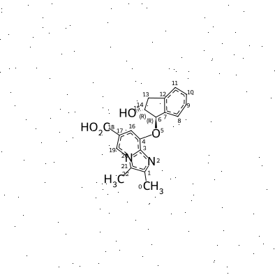 Cc1nc2c(O[C@@H]3c4ccccc4C[C@H]3O)cc(C(=O)O)cn2c1C